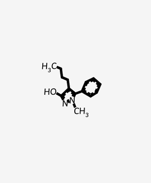 CCCCc1c(O)nn(C)c1-c1ccccc1